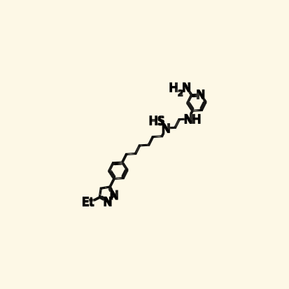 CCC1=NN=C(c2ccc(CCCCCCN(S)CCNc3ccnc(N)c3)cc2)C1